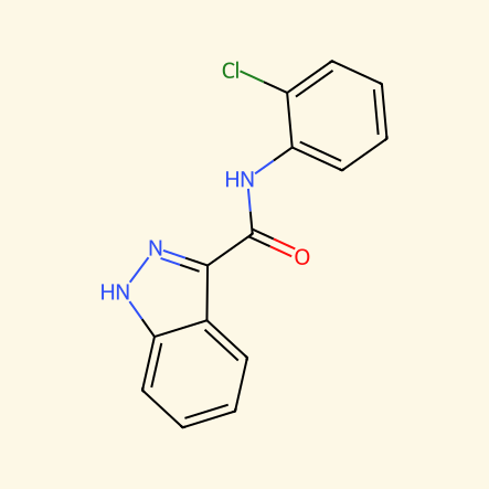 O=C(Nc1ccccc1Cl)c1n[nH]c2ccccc12